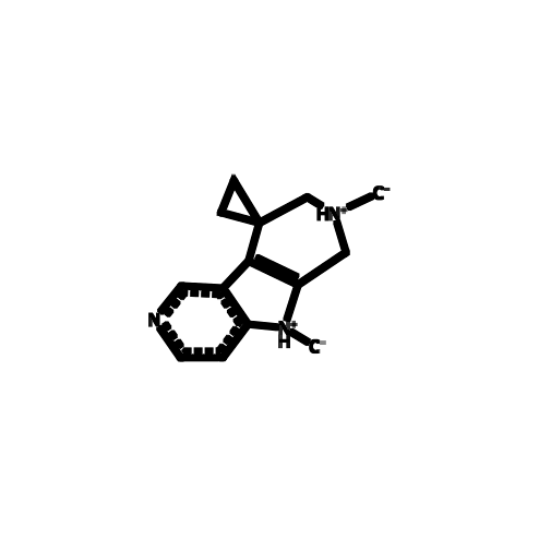 [CH2-][NH+]1CC2=C(c3cnccc3[NH+]2[CH2-])C2(CC2)C1